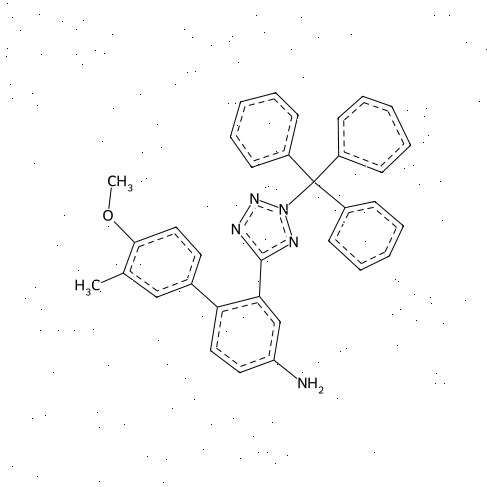 COc1ccc(-c2ccc(N)cc2-c2nnn(C(c3ccccc3)(c3ccccc3)c3ccccc3)n2)cc1C